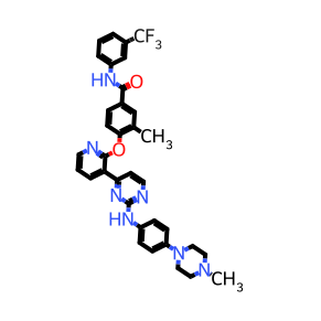 Cc1cc(C(=O)Nc2cccc(C(F)(F)F)c2)ccc1Oc1ncccc1-c1ccnc(Nc2ccc(N3CCN(C)CC3)cc2)n1